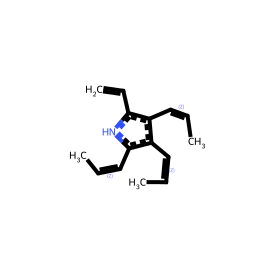 C=Cc1[nH]c(/C=C\C)c(/C=C\C)c1/C=C\C